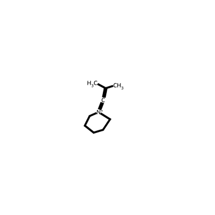 CC(C)=C=[N+]1CCCCC1